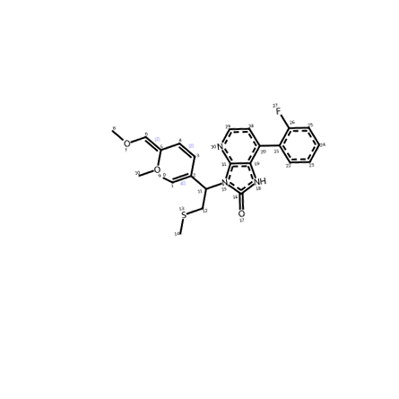 C\C=C(/C=C\C(=C\OC)OC)C(CSC)n1c(=O)[nH]c2c(-c3ccccc3F)ccnc21